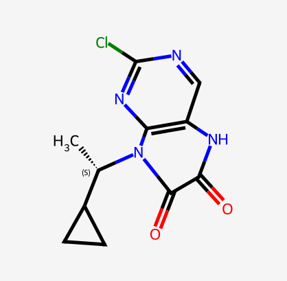 C[C@@H](C1CC1)n1c(=O)c(=O)[nH]c2cnc(Cl)nc21